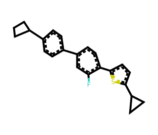 Fc1cc(-c2ccc(C3CCC3)cc2)ccc1-c1ccc(C2CC2)s1